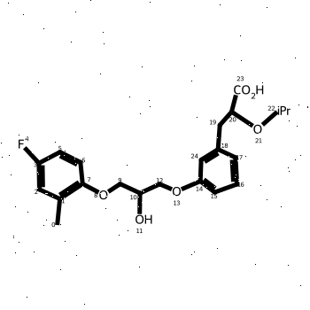 Cc1cc(F)ccc1OCC(O)COc1cccc(CC(OC(C)C)C(=O)O)c1